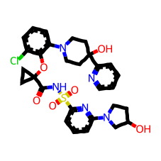 O=C(NS(=O)(=O)c1cccc(N2CCC(O)C2)n1)C1(Oc2c(Cl)cccc2N2CCC(O)(c3ccccn3)CC2)CC1